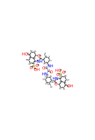 Cc1ccc(NC(=O)C(=O)Nc2ccc(C)c(C(=O)Nc3c(S(=O)(=O)O)ccc4c(O)cccc34)c2)cc1C(=O)Nc1c(S(=O)(=O)O)ccc2c(O)cccc12